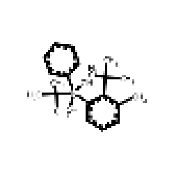 Cc1cccc(P(O)(O)(c2ccccc2)C(C)(C)C)c1C(C)(C)C